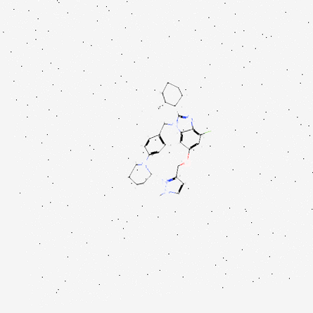 Cn1ccc(COc2cc(F)c3nc([C@@H]4CCCC[C@@H]4C(=O)O)n(Cc4ccc(N5CCCCC5)cc4)c3c2)n1